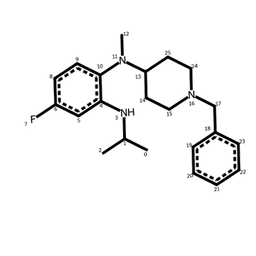 CC(C)Nc1cc(F)ccc1N(C)C1CCN(Cc2ccccc2)CC1